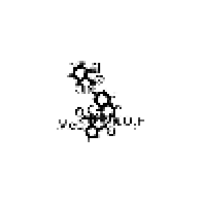 COC(=O)C(C)(N)C1CCCC1C(=O)N[C@@H](Cc1ccc(NC(=O)c2c(Cl)cccc2Cl)cc1)C(=O)O